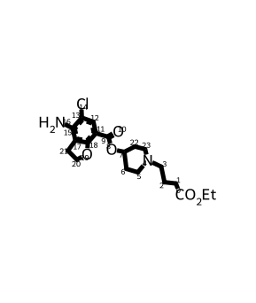 CCOC(=O)CCCN1CCC(OC(=O)c2cc(Cl)c(N)c3c2OCC3)CC1